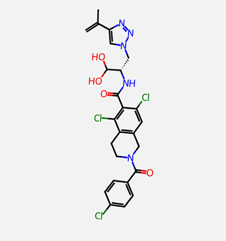 C=C(C)c1cn(C[C@H](NC(=O)c2c(Cl)cc3c(c2Cl)CCN(C(=O)c2ccc(Cl)cc2)C3)C(O)O)nn1